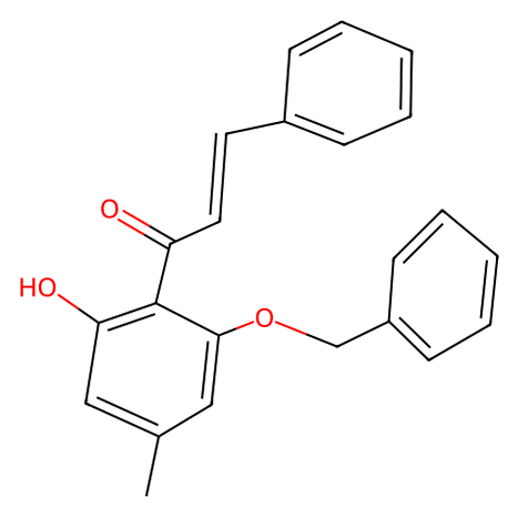 Cc1cc(O)c(C(=O)C=Cc2ccccc2)c(OCc2ccccc2)c1